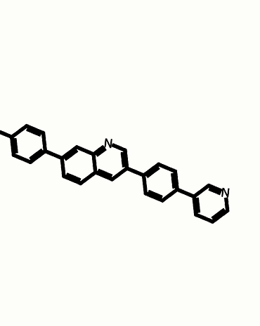 Ic1ccc(-c2ccc3cc(-c4ccc(-c5cccnc5)cc4)cnc3c2)cc1